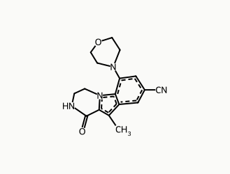 Cc1c2n(c3c(N4CCOCC4)cc(C#N)cc13)CCNC2=O